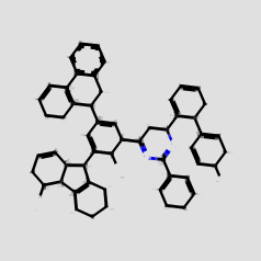 CC1C=CC(C2CC=CC=C2C2CC(C3C=C(C4Cc5ccccc5C5=C4CCC=C5)C=C(C4C5=C(CCCC5)C5C(C)CC=CC45)C3C)=NC(C3=CCCC=C3)=N2)=CC1